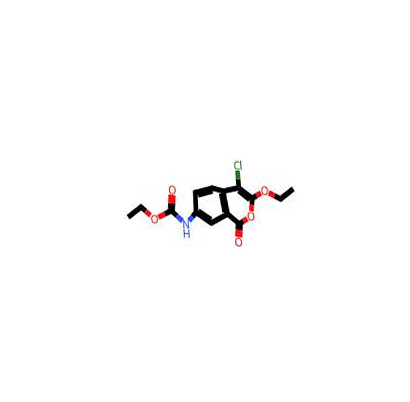 CCOC(=O)Nc1ccc2c(Cl)c(OCC)oc(=O)c2c1